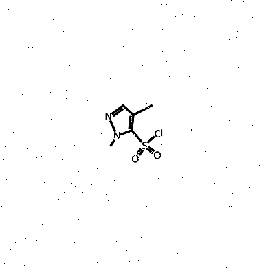 Cc1cnn(C)c1S(=O)(=O)Cl